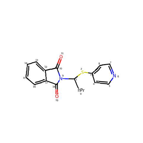 CCCC(Sc1ccncc1)N1C(=O)c2ccccc2C1=O